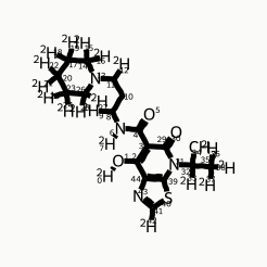 [2H]Oc1c(C(=O)N([2H])C([2H])CC([2H])N2C([2H])([2H])C([2H])([2H])C([2H])([2H])C([2H])([2H])C2([2H])[2H])c(=O)n(C([2H])(C)C([2H])([2H])[2H])c2sc([2H])nc12